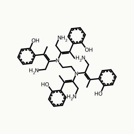 CC(=C(CN)N(CCN(C(CN)=C(C)c1ccccc1O)C(CN)=C(C)c1ccccc1O)C(CN)=C(C)c1ccccc1O)c1ccccc1O